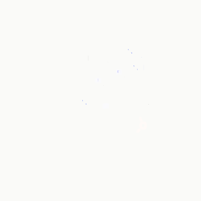 C=C/C=C(\C=C/N)C(/C(=C)C)=C(/NN)c1ccc(Oc2ccccc2)cc1